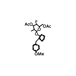 COc1ccc(Cc2ccccc2OC2OC(COC(C)=O)C(F)C(OC(C)=O)C2C)cc1